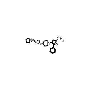 FC(F)(F)c1cc(N2CCC(COCCN3CCCC3)CC2)c(-c2ccccc2)s1